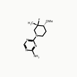 CO[C@@H]1CCN(c2ncnc(N)n2)C[C@]1(C)F